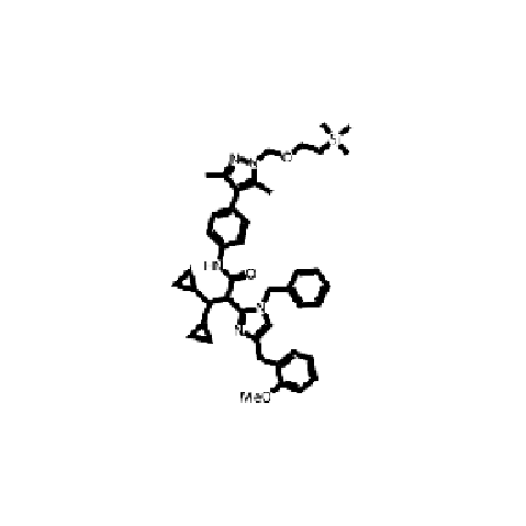 COc1ccccc1Cc1cn(Cc2ccccc2)c(C(C(=O)Nc2ccc(-c3c(C)nn(COCC[Si](C)(C)C)c3C)cc2)C(C2CC2)C2CC2)n1